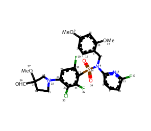 COc1ccc(CN(c2cccc(F)n2)S(=O)(=O)c2c(F)cc(N3CCC(C=O)(OC)C3)c(Cl)c2F)c(OC)c1